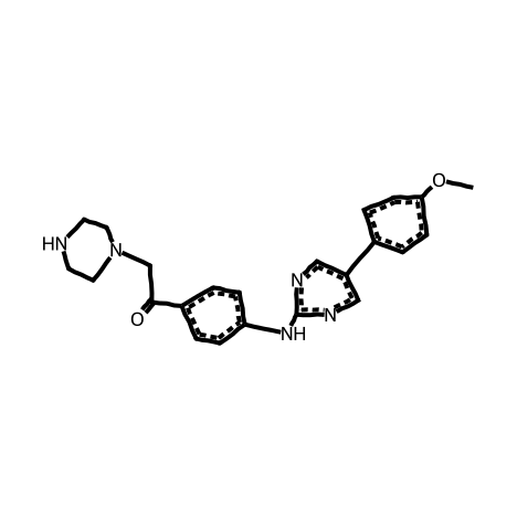 COc1ccc(-c2cnc(Nc3ccc(C(=O)CN4CCNCC4)cc3)nc2)cc1